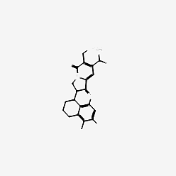 CCC(C=O)c1cc2n(c(=O)c1COC)CC1C2=Nc2cc(F)c(C)c3c2C1CCC3